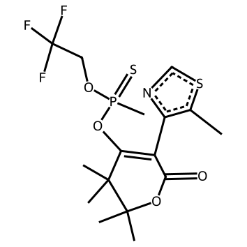 Cc1scnc1C1=C(OP(C)(=S)OCC(F)(F)F)C(C)(C)C(C)(C)OC1=O